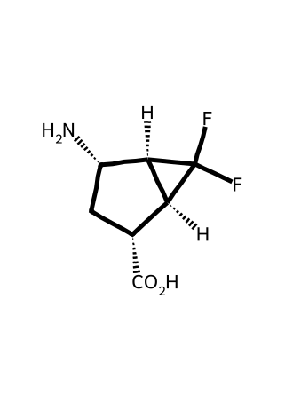 N[C@H]1C[C@@H](C(=O)O)[C@H]2[C@@H]1C2(F)F